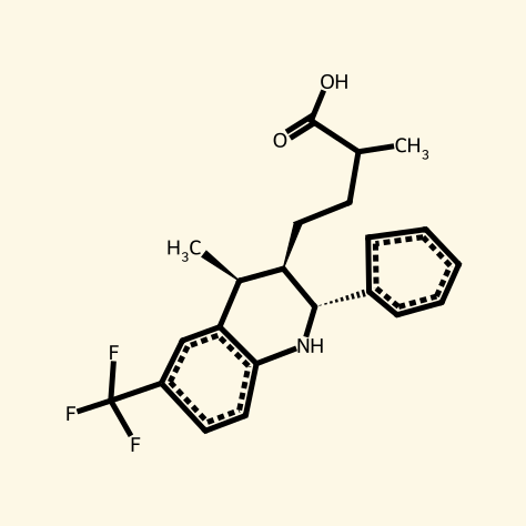 CC(CC[C@@H]1[C@H](C)c2cc(C(F)(F)F)ccc2N[C@H]1c1ccccc1)C(=O)O